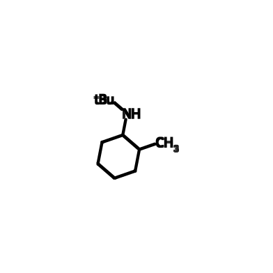 CC1CCCCC1NC(C)(C)C